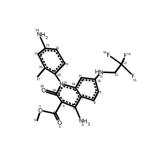 COC(=O)c1c(N)c2ccc(NCC(F)(F)F)cc2n(-c2ccc(N)cc2C)c1=O